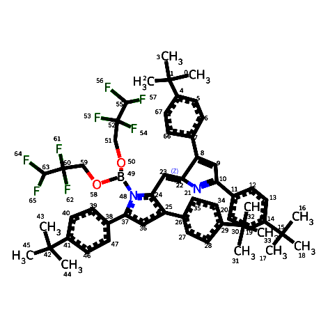 CC(C)(C)c1ccc(C2=CC(c3ccc(C(C)(C)C)cc3)=N/C2=C\c2c(-c3ccc(C(C)(C)C)cc3)cc(-c3ccc(C(C)(C)C)cc3)n2B(OCC(F)(F)C(F)F)OCC(F)(F)C(F)F)cc1